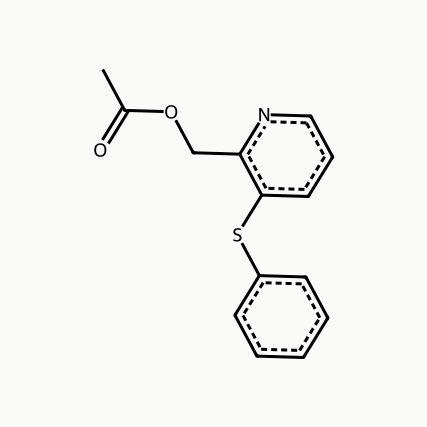 CC(=O)OCc1ncccc1Sc1ccccc1